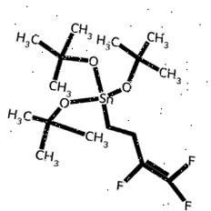 CC(C)(C)[O][Sn]([CH2]CC(F)=C(F)F)([O]C(C)(C)C)[O]C(C)(C)C